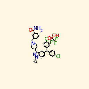 NC(=O)c1cccc(CN2CCC(c3nn(C4CC4)c4ccc(C(c5ccc(Cl)cc5)c5ccc(Cl)cc5)cc34)CC2)c1.O=C(O)C(F)(F)F